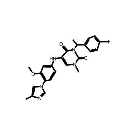 COc1cc(Nc2cn(C)c(=O)n(C(C)c3ccc(F)cc3)c2=O)ccc1-n1cnc(C)c1